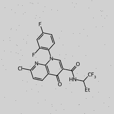 CCC(NC(=O)c1cn(-c2ccc(F)cc2F)c2nc(Cl)ccc2c1=O)C(F)(F)F